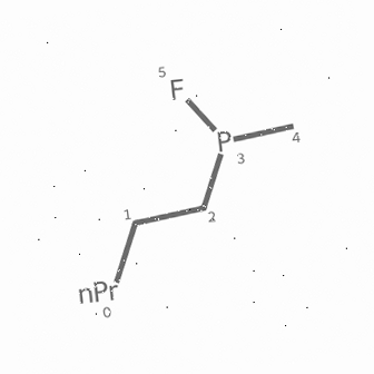 CCCCCP(C)F